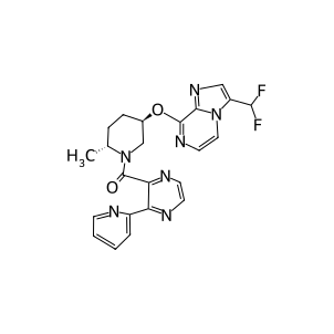 C[C@@H]1CC[C@@H](Oc2nccn3c(C(F)F)cnc23)CN1C(=O)c1nccnc1-c1ccccn1